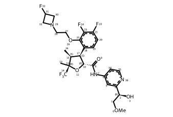 COC[C@H](O)c1cc(NC(=O)[C@@H]2O[C@@](C)(C(F)(F)F)[C@@H](C)[C@H]2c2ccc(F)c(F)c2OCCN2CC(F)C2)ccn1